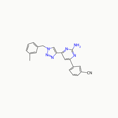 Cc1cccc(Cn2cc(-c3cc(-c4cccc(C#N)c4)nc(N)n3)nn2)c1